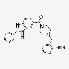 N#Cc1ccccc1CN1CCN(C(=O)c2ccc3nc(-c4ccccc4)[nH]c3c2)CC1